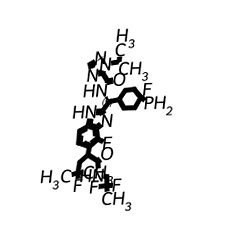 CC(C)n1ncnc1C(=O)N[C@H](c1nc2c(F)c(C(CC(C)(C)F)C(=O)NCC(C)(F)F)ccc2[nH]1)C1CCC(F)(P)CC1